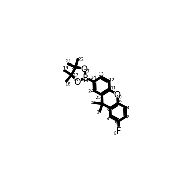 CC1(C)c2cc(F)ccc2Oc2ccc(B3OC(C)(C)C(C)(C)O3)cc21